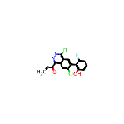 C=CC(=O)c1nnc(Cl)c2cc(-c3c(O)cccc3F)c(Cl)cc12